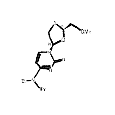 CCN(c1ccn([C@H]2CS[C@@H](COC)O2)c(=O)n1)C(C)C